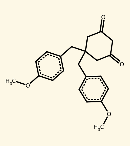 COc1ccc(CC2(Cc3ccc(OC)cc3)CC(=O)CC(=O)C2)cc1